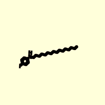 CCCCCCCCCCCCCCCCNc1ccc(I)cc1